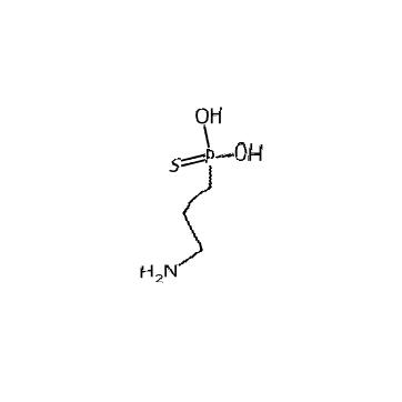 NCCCP(O)(O)=S